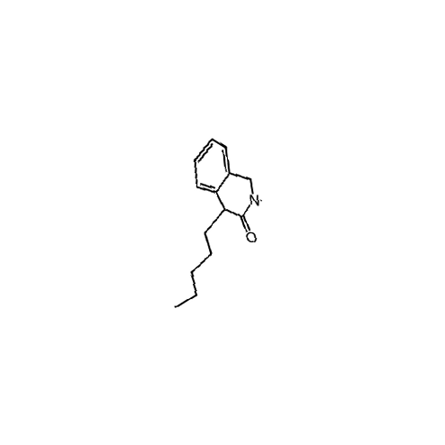 CCCCCC1C(=O)[N]Cc2ccccc21